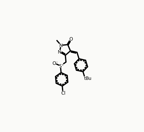 CN1N=C(C[S+]([O-])c2ccc(Cl)cc2)/C(=C\c2ccc(C(C)(C)C)cc2)C1=O